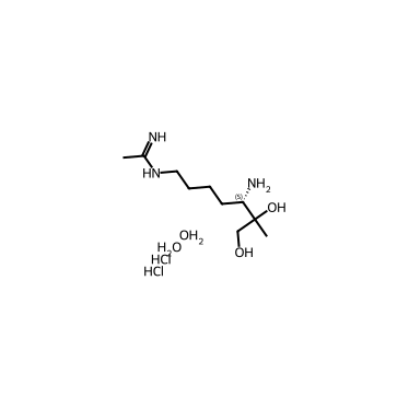 CC(=N)NCCCC[C@H](N)C(C)(O)CO.Cl.Cl.O.O